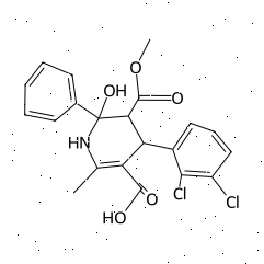 COC(=O)C1C(c2cccc(Cl)c2Cl)C(C(=O)O)=C(C)NC1(O)c1ccccc1